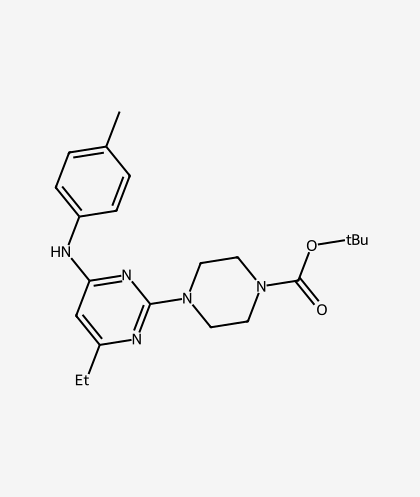 CCc1cc(Nc2ccc(C)cc2)nc(N2CCN(C(=O)OC(C)(C)C)CC2)n1